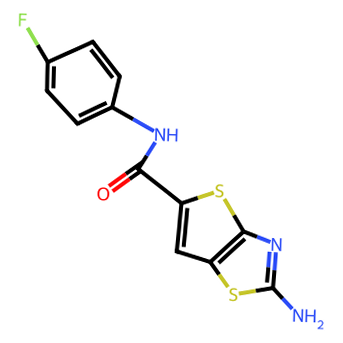 Nc1nc2sc(C(=O)Nc3ccc(F)cc3)cc2s1